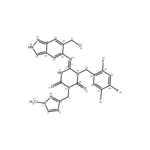 Cn1cnc(Cn2c(=O)[nH]/c(=N\c3cc4c[nH]nc4cc3CCl)n(Cc3cc(F)c(F)cc3F)c2=O)n1